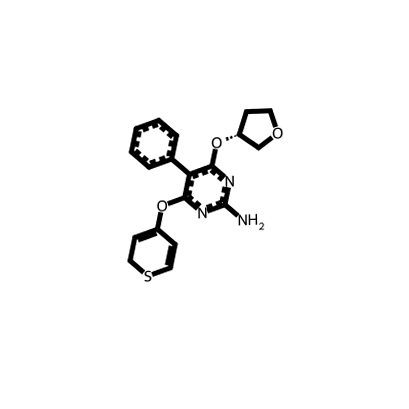 Nc1nc(OC2=CCSC=C2)c(-c2ccccc2)c(O[C@@H]2CCOC2)n1